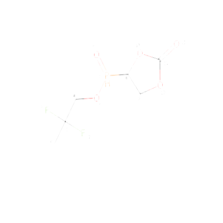 CC(F)(F)CO[PH](=O)C1COC(=O)O1